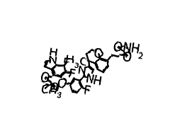 CC1(c2c[nH]c(-c3cc(Oc4c(F)c(F)c5[nH]ccc5c4S(C)(=O)=O)ccc3F)n2)CCOc2c(CCS(N)(=O)=O)cccc21